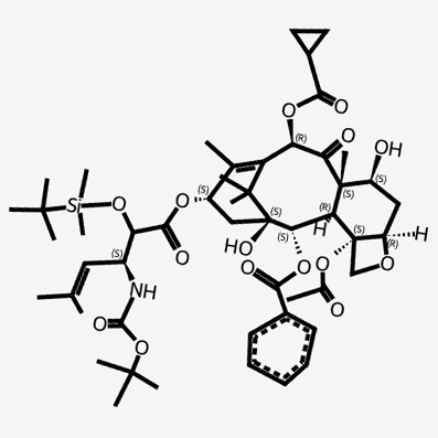 CC(=O)O[C@@]12CO[C@@H]1C[C@H](O)[C@@]1(C)C(=O)[C@H](OC(=O)C3CC3)C3=C(C)[C@@H](OC(=O)C(O[Si](C)(C)C(C)(C)C)[C@H](C=C(C)C)NC(=O)OC(C)(C)C)C[C@@](O)([C@@H](OC(=O)c4ccccc4)[C@H]21)C3(C)C